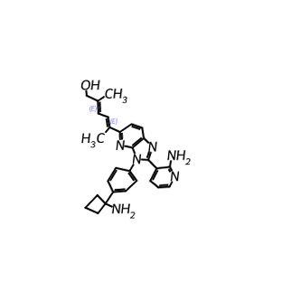 C/C(=C\C=C(/C)c1ccc2nc(-c3cccnc3N)n(-c3ccc(C4(N)CCC4)cc3)c2n1)CO